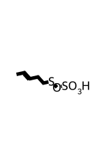 CC=CCCSOS(=O)(=O)O